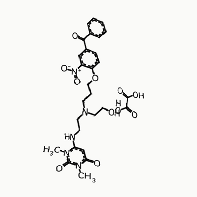 Cn1c(NCCN(CCO)CCCOc2ccc(C(=O)c3ccccc3)cc2[N+](=O)[O-])cc(=O)n(C)c1=O.O=C(O)C(=O)O